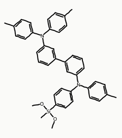 CO[Si](C)(OC)c1ccc(N(c2ccc(C)cc2)c2cccc(-c3cccc(N(c4ccc(C)cc4)c4ccc(C)cc4)c3)c2)cc1